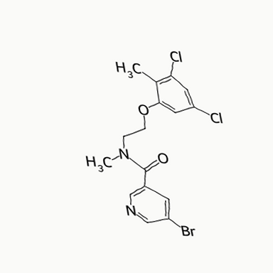 Cc1c(Cl)cc(Cl)cc1OCCN(C)C(=O)c1cncc(Br)c1